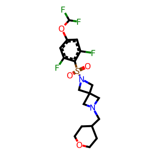 O=S(=O)(c1c(F)cc(OC(F)F)cc1F)N1CC2(CN(CC3CCOCC3)C2)C1